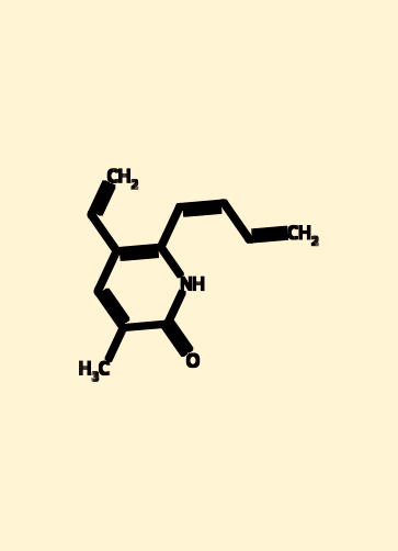 C=C/C=C\c1[nH]c(=O)c(C)cc1C=C